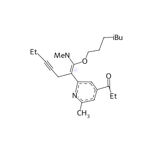 CCC#CC/C(=C(\NC)OCCCC(C)CC)c1cc(C(=O)CC)cc(C)n1